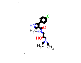 CCN(CC)CC(O)CNC(=O)c1c(-c2ccc(Cl)cc2)c[nH]c1C